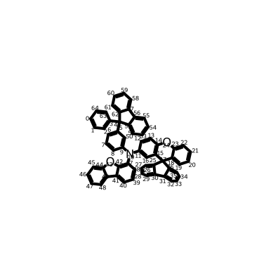 c1ccc(C2(c3cccc(N(c4ccc5c(c4)C4(c6ccccc6O5)c5ccccc5-c5ccccc54)c4cccc5c4oc4ccccc45)c3)c3ccccc3-c3ccccc32)cc1